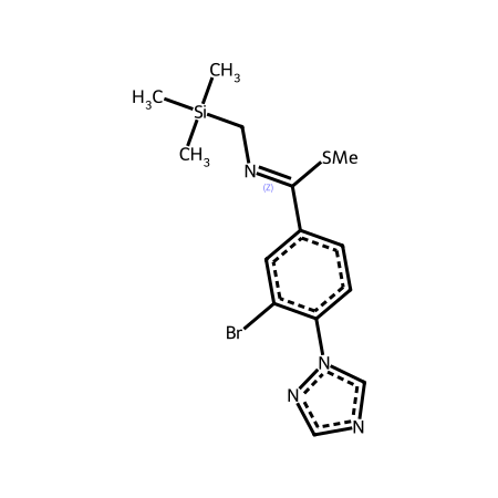 CS/C(=N\C[Si](C)(C)C)c1ccc(-n2cncn2)c(Br)c1